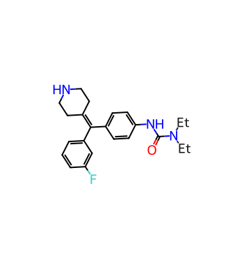 CCN(CC)C(=O)Nc1ccc(C(=C2CCNCC2)c2cccc(F)c2)cc1